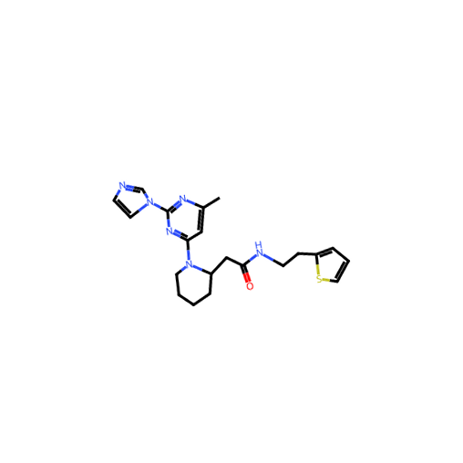 Cc1cc(N2CCCCC2CC(=O)NCCc2cccs2)nc(-n2ccnc2)n1